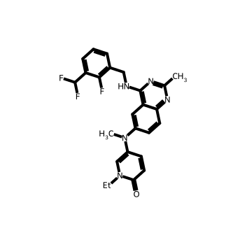 CCn1cc(N(C)c2ccc3nc(C)nc(NCc4cccc(C(F)F)c4F)c3c2)ccc1=O